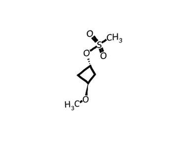 CO[C@H]1C[C@H](OS(C)(=O)=O)C1